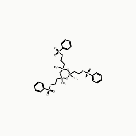 C[Si]1(CCOS(=O)(=S)c2ccccc2)O[Si](C)(CCSS(=O)(=O)c2ccccc2)O[Si](C)(CCSS(=O)(=O)c2ccccc2)O1